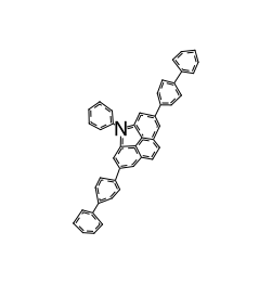 c1ccc(-c2ccc(-c3cc4ccc5cc(-c6ccc(-c7ccccc7)cc6)cc6c5c4c(c3)n6-c3ccccc3)cc2)cc1